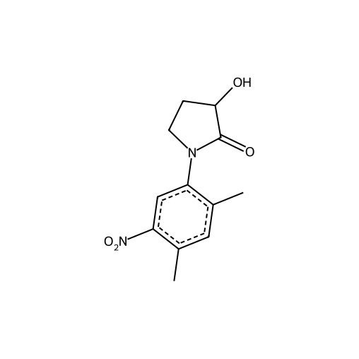 Cc1cc(C)c([N+](=O)[O-])cc1N1CCC(O)C1=O